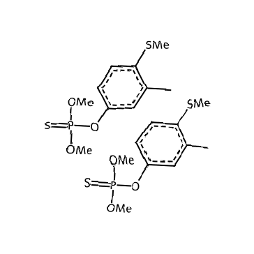 COP(=S)(OC)Oc1ccc(SC)c(C)c1.COP(=S)(OC)Oc1ccc(SC)c(C)c1